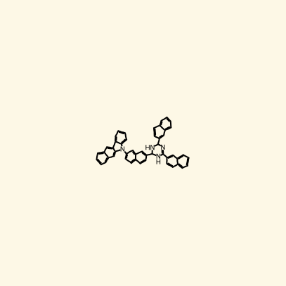 c1ccc2cc(C3=NC(c4ccc5ccccc5c4)NC(c4ccc5ccc(-n6c7ccccc7c7cc8ccccc8cc76)cc5c4)N3)ccc2c1